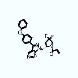 C=CC(=O)N1CC(F)(F)C[C@H]1Cn1nc(-c2ccc(Oc3ccccc3)cc2)c2cncnc21